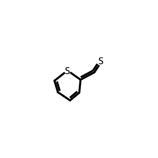 S=C=C1C=CC=CS1